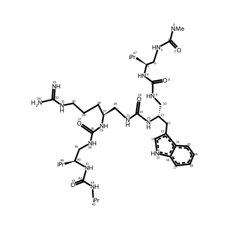 CNC(=O)NC[C@@H](NC(=O)NC[C@H](Cc1c[nH]c2ccccc12)NC(=O)NC[C@H](CCCNC(=N)N)NC(=O)NC[C@@H](NC(=O)NC(C)C)C(C)C)C(C)C